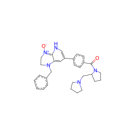 O=C(c1ccc(C2=CNC3=[N+]([O-])CCN(Cc4ccccc4)C3=C2)cc1)N1CCCC1CN1CCCC1